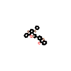 O=c1c2ccccc2sc2ccc(-c3csc(-c4c(Sc5ccccc5)ccc5sc6ccccc6c(=O)c45)c3)cc12